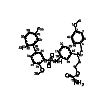 COc1ccc(CN(CCOC(N)=O)c2cccc(NS(=O)(=O)c3cc(-c4cc(F)ccc4F)ccc3OC)c2)cc1